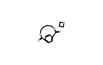 C1COC1.O=C1OCCCCOC(=O)c2ccc1cc2